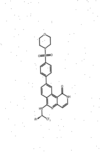 CC(C)[C@@H](Nc1nc2cc[nH]c(=O)c2c2cc(-c3ccc(S(=O)(=O)N4CCOCC4)cc3)ccc12)C(F)(F)F